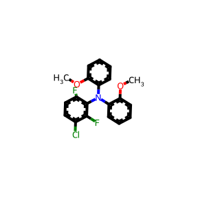 COc1ccccc1N(c1ccccc1OC)c1c(F)ccc(Cl)c1F